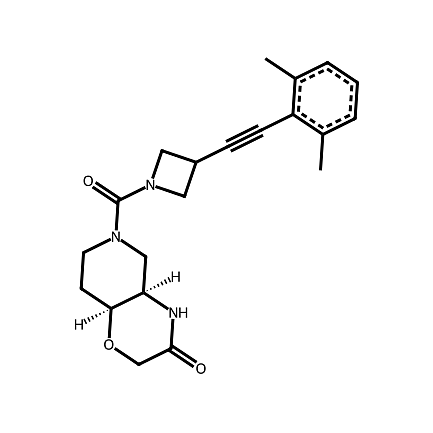 Cc1cccc(C)c1C#CC1CN(C(=O)N2CC[C@@H]3OCC(=O)N[C@@H]3C2)C1